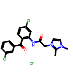 Cc1n(C)cc[n+]1CC(=O)Nc1cc(Cl)ccc1C(=O)c1cccc(Cl)c1.[Cl-]